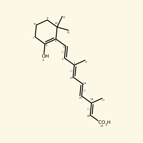 CC(/C=C/C1=C(O)CCCC1(C)C)=C\C=C\C(C)=C\C(=O)O